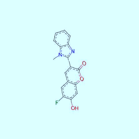 Cn1c(-c2cc3cc(F)c(O)cc3oc2=O)nc2ccccc21